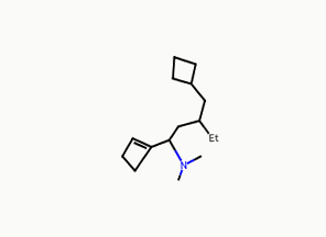 CCC(CC1CCC1)CC(C1=CCC1)N(C)C